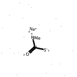 CNC(=O)[S-].[Na+]